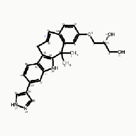 CC1(C)c2cc(OC[C@H](O)CO)ccc2/C=C/Cc2c1[nH]c1cc(-c3cn[nH]c3)ccc21